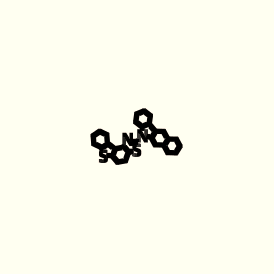 c1ccc2cc3c(cc2c1)c1ccccc1n3-c1nc2c(ccc3sc4ccccc4c32)s1